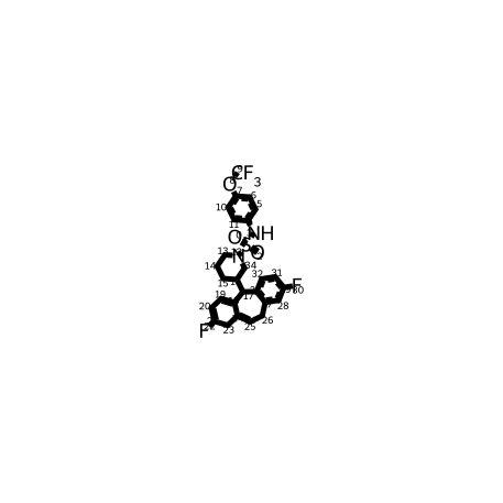 O=S(=O)(Nc1ccc(OC(F)(F)F)cc1)N1CCCC(C2C3=CC=C(F)CC3=CCc3cc(F)ccc32)C1